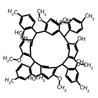 COc1cc(O)c2cc1C(c1ccc(C)cc1C)c1cc(c(OC)cc1O)C(c1ccc(C)cc1C)c1cc(c(OC)cc1O)C(c1ccc(C)cc1C)c1cc(c(O)cc1OC)C2c1ccc(C)cc1C